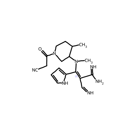 CC1CCN(C(=O)CC#N)CC1N(C)/C(=C(/C=N)C(=N)N)c1ccc[nH]1